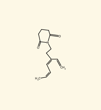 C=C/C(=C\C=C/C)CCN1C(=O)CCCC1=O